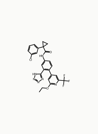 CCOc1cc(-c2ccc(NC(=O)C3(c4cccc(Cl)c4)CC3)cc2-c2nnn[nH]2)cc(C(F)(F)F)n1